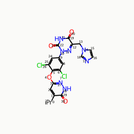 CC(C)c1cc(Oc2c(Cl)cc(-n3nc(Cn4ccnc4)c(=O)[nH]c3=O)cc2Cl)n[nH]c1=O